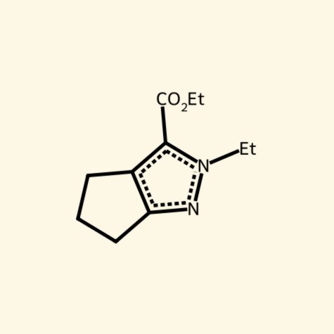 CCOC(=O)c1c2c(nn1CC)CCC2